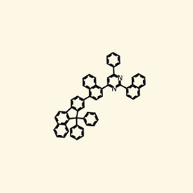 c1ccc(-c2cc(-c3ccc(-c4ccc5c(c4)C(c4ccccc4)(c4ccccc4)c4c-5ccc5ccccc45)c4ccccc34)nc(-c3cccc4ccccc34)n2)cc1